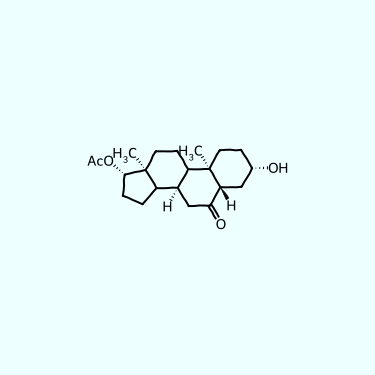 CC(=O)O[C@H]1CCC2[C@@H]3CC(=O)[C@H]4C[C@@H](O)CC[C@]4(C)C3CC[C@@]21C